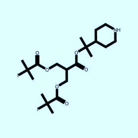 CC(C)(I)C(=O)OCC(COC(=O)C(C)(C)I)C(=O)OC(C)(C)C1CCNCC1